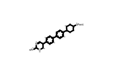 CCCCCC1CCC(c2ccc(-c3ccc(C4C=NC(CCC)OC4)cc3)cc2)CC1